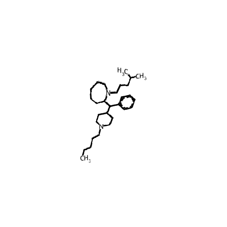 CCCCCN1CCC(C(c2ccccc2)C2CCCCCN2CCCC(C)C)CC1